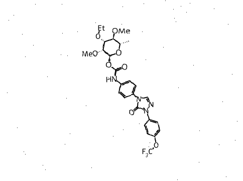 CCO[C@@H]1[C@@H](OC)[C@H](C)O[C@@H](OC(=O)Nc2ccc(-n3cnn(-c4ccc(OC(F)(F)F)cc4)c3=O)cc2)[C@@H]1OC